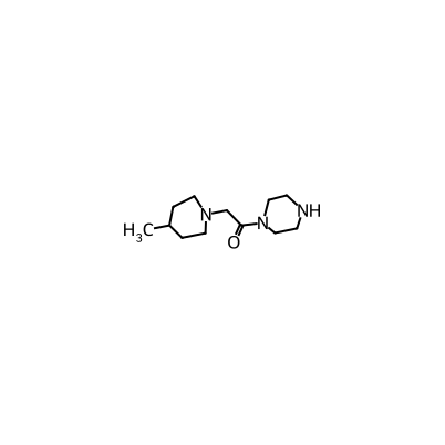 CC1CCN(CC(=O)N2CCNCC2)CC1